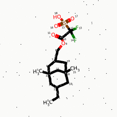 CCC1CC2(C)CC(COC(=O)C(F)(F)S(=O)(=O)O)CC(C)(C1)C2